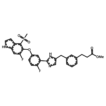 COC(=O)CCc1cccc(Cc2cnc(-c3cc(Oc4c(F)cc5[nH]ccc5c4S(C)(=O)=O)ccc3F)[nH]2)c1